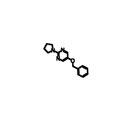 c1ccc(COc2cnc(N3CCCC3)nc2)cc1